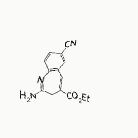 CCOC(=O)C1=Cc2cc(C#N)ccc2N=C(N)C1